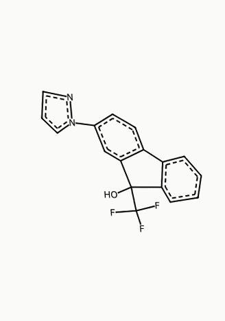 OC1(C(F)(F)F)c2ccccc2-c2ccc(-n3cccn3)cc21